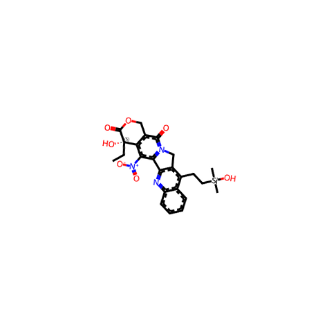 CC[C@@]1(O)C(=O)OCc2c1c([N+](=O)[O-])c1n(c2=O)Cc2c-1nc1ccccc1c2CC[Si](C)(C)O